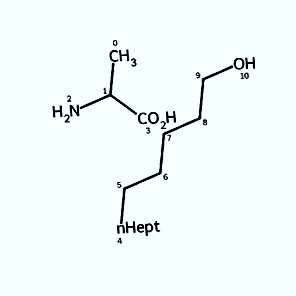 CC(N)C(=O)O.CCCCCCCCCCCCO